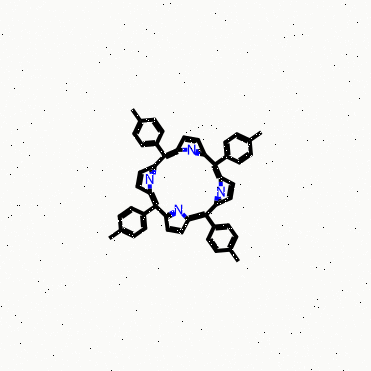 Cc1ccc(C2=C3C=CC(=N3)C(c3ccc(C)cc3)=C3C=CC(=N3)C(c3ccc(C)cc3)=C3C=CC(=N3)C(c3ccc(C)cc3)=C3C=CC2=N3)cc1